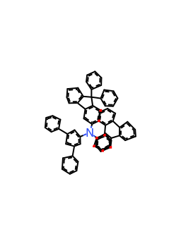 c1ccc(-c2cc(-c3ccccc3)cc(N(c3ccc4c(c3)-c3ccccc3C4(c3ccccc3)c3ccccc3)c3ccccc3-c3ccccc3-c3ccccc3-c3ccccc3)c2)cc1